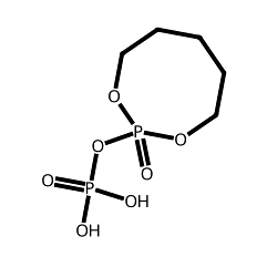 O=P(O)(O)OP1(=O)OCCCCCO1